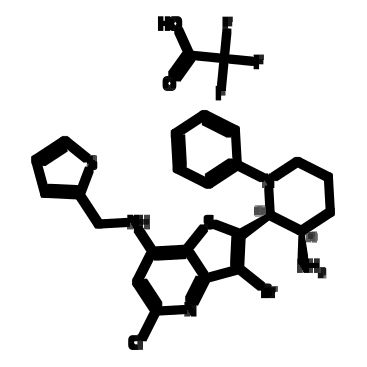 N[C@@H]1CCCN(c2ccccc2)[C@@H]1c1sc2c(NCc3cccs3)cc(Cl)nc2c1Br.O=C(O)C(F)(F)F